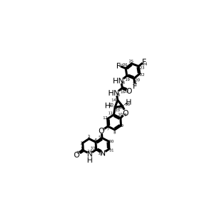 O=C1CCc2c(Oc3ccc4c(c3)[C@H]3C(NC(=O)Nc5c(F)cc(F)cc5F)[C@H]3O4)ccnc2N1